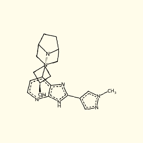 Cn1cc(-c2nc3c(N4CC5CCC(C4)N5[C@H]4C[C@H](O)C4)ccnc3[nH]2)cn1